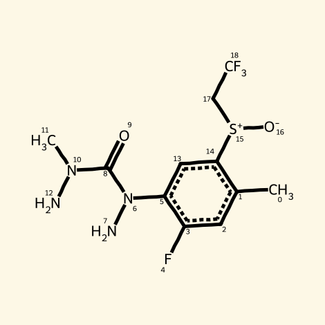 Cc1cc(F)c(N(N)C(=O)N(C)N)cc1[S+]([O-])CC(F)(F)F